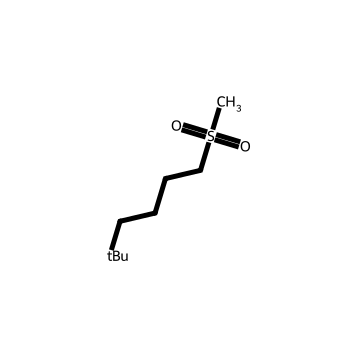 CC(C)(C)CCCCS(C)(=O)=O